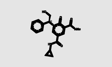 CNC(=O)c1cc(C(=O)NC2CC2)cn([C@H](CO)c2ccccc2)c1=O